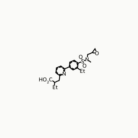 CCc1cc(-c2cccc(CC(CC)C(=O)O)n2)ccc1S(=O)(=O)N(C)CC1CO1